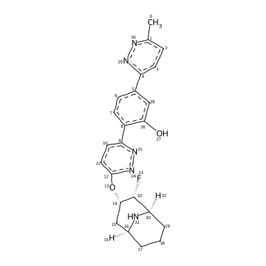 Cc1ccc(-c2ccc(-c3ccc(O[C@H]4C[C@@H]5CCC[C@@H](N5)[C@H]4F)nn3)c(O)c2)nn1